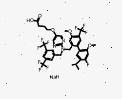 COc1cc(F)c(C(C)C)cc1-c1cc(C(F)(F)F)c(OC)cc1CN(Cc1cc(C(F)(F)F)cc(C(F)(F)F)c1)c1ncc(OCCCC(=O)O)cn1.[NaH]